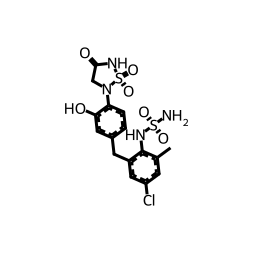 Cc1cc(Cl)cc(Cc2ccc(N3CC(=O)NS3(=O)=O)c(O)c2)c1NS(N)(=O)=O